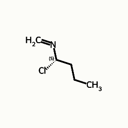 C=N[C@@H](Cl)CCC